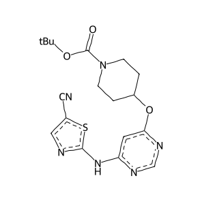 CC(C)(C)OC(=O)N1CCC(Oc2cc(Nc3ncc(C#N)s3)ncn2)CC1